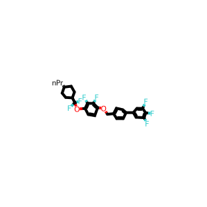 CCCC1CCC(C(F)(F)Oc2ccc(OCc3ccc(-c4cc(F)c(F)c(F)c4)cc3)c(F)c2F)CC1